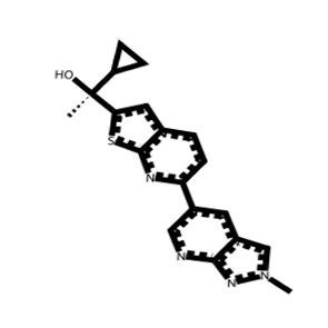 Cn1cc2cc(-c3ccc4cc([C@@](C)(O)C5CC5)sc4n3)cnc2n1